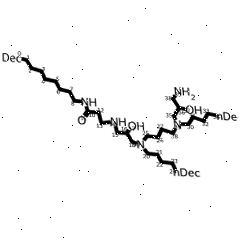 CCCCCCCCCCCCCCCCCCNC(=O)CCNCC(O)CN(CCCCCCCCCCCCCC)CCCCN(CCCCCCCCCCCCCC)CC(O)CN